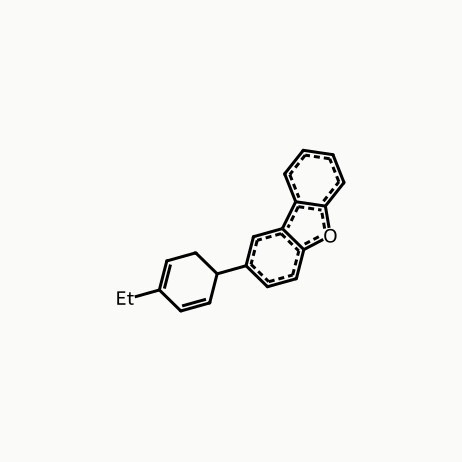 CCC1=CCC(c2ccc3oc4ccccc4c3c2)C=C1